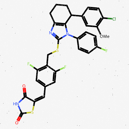 COc1cc(C2CCCc3nc(SCc4c(F)cc(C=C5SC(=O)NC5=O)cc4F)n(-c4ccc(F)cc4)c32)ccc1Cl